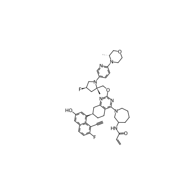 C#Cc1c(F)ccc2cc(O)cc([C@@H]3CCc4c(nc(OC[C@]5(C)C[C@@H](F)CN5c5ccc(N6CCOC[C@H]6C)nc5)nc4N4CCCCC(NC(=O)C=C)C4)C3)c12